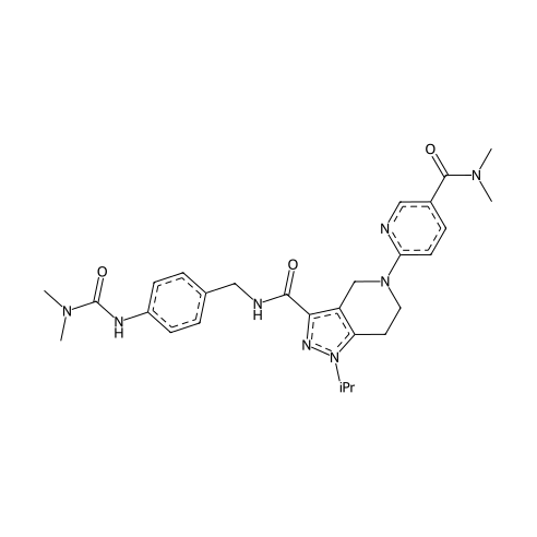 CC(C)n1nc(C(=O)NCc2ccc(NC(=O)N(C)C)cc2)c2c1CCN(c1ccc(C(=O)N(C)C)cn1)C2